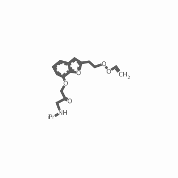 C=COOCCc1cc2cccc(OCC(=O)CNC(C)C)c2o1